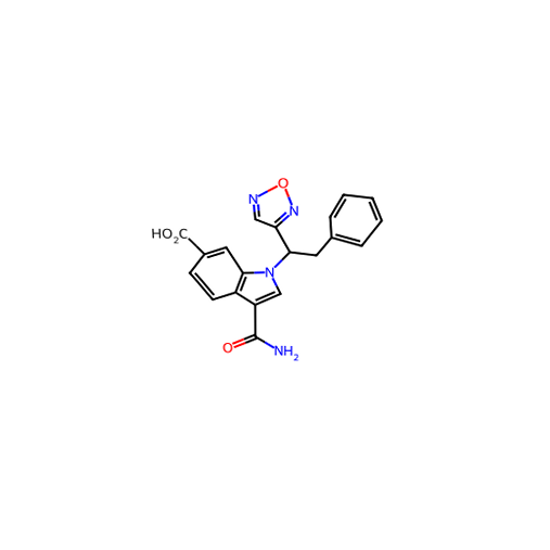 NC(=O)c1cn(C(Cc2ccccc2)c2cnon2)c2cc(C(=O)O)ccc12